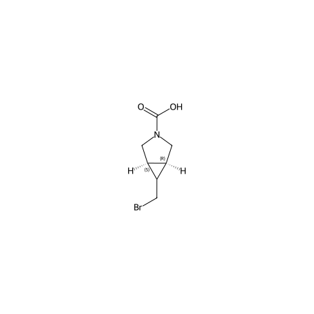 O=C(O)N1C[C@@H]2C(CBr)[C@@H]2C1